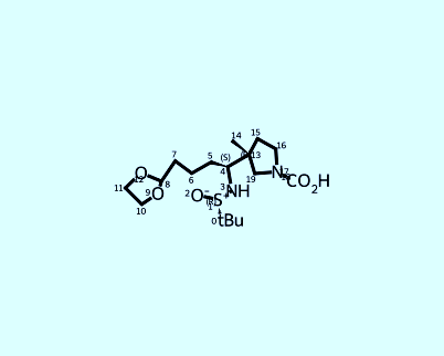 CC(C)(C)[S@+]([O-])N[C@@H](CCCC1OCCO1)[C@]1(C)CCN(C(=O)O)C1